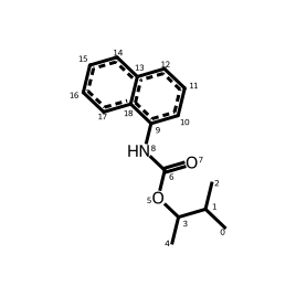 CC(C)C(C)OC(=O)Nc1cccc2ccccc12